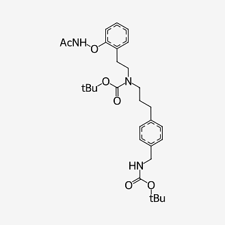 CC(=O)NOc1ccccc1CCN(CCCc1ccc(CNC(=O)OC(C)(C)C)cc1)C(=O)OC(C)(C)C